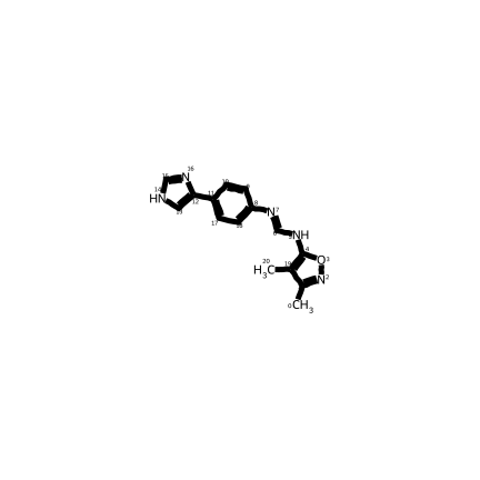 Cc1noc(N/C=N/c2ccc(-c3c[nH]cn3)cc2)c1C